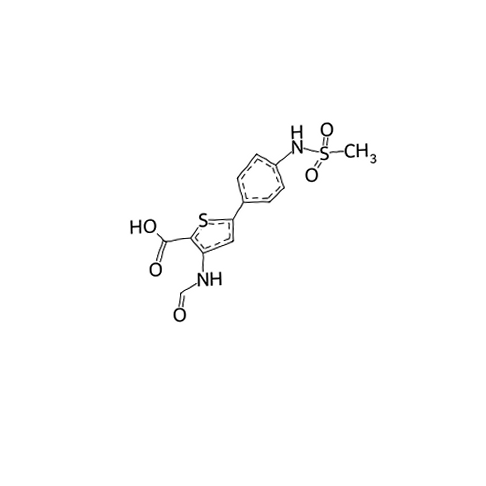 CS(=O)(=O)Nc1ccc(-c2cc(NC=O)c(C(=O)O)s2)cc1